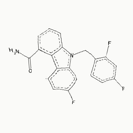 NC(=O)c1cccc2c1c1[c]cc(F)cc1n2Cc1ccc(F)cc1F